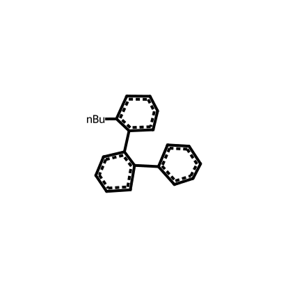 CCCCc1ccccc1-c1ccccc1-c1ccccc1